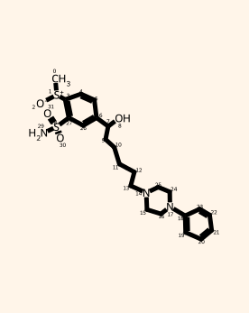 C[S+]([O-])c1ccc(C(O)CCCCCN2CCN(c3ccccc3)CC2)cc1S(N)(=O)=O